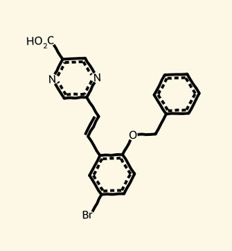 O=C(O)c1cnc(C=Cc2cc(Br)ccc2OCc2ccccc2)cn1